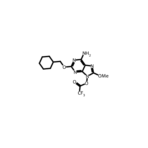 COc1nc2c(N)nc(OCC3CCCCC3)nc2n1OC(=O)C(F)(F)F